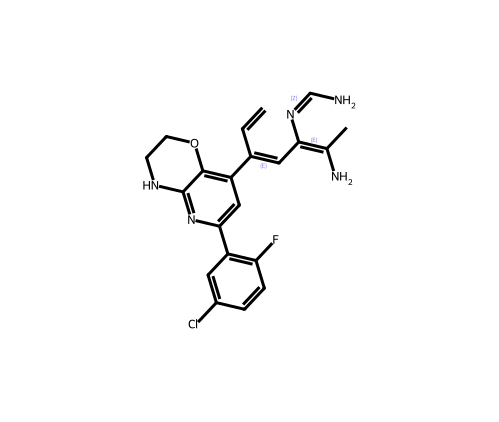 C=C\C(=C/C(/N=C\N)=C(/C)N)c1cc(-c2cc(Cl)ccc2F)nc2c1OCCN2